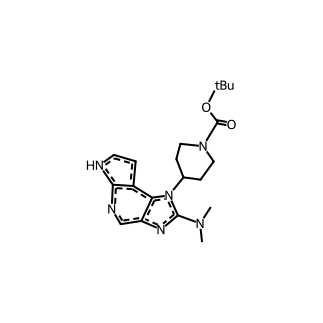 CN(C)c1nc2cnc3[nH]ccc3c2n1C1CCN(C(=O)OC(C)(C)C)CC1